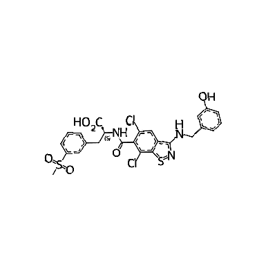 CS(=O)(=O)c1cccc(C[C@H](NC(=O)c2c(Cl)cc3c(NCc4cccc(O)c4)nsc3c2Cl)C(=O)O)c1